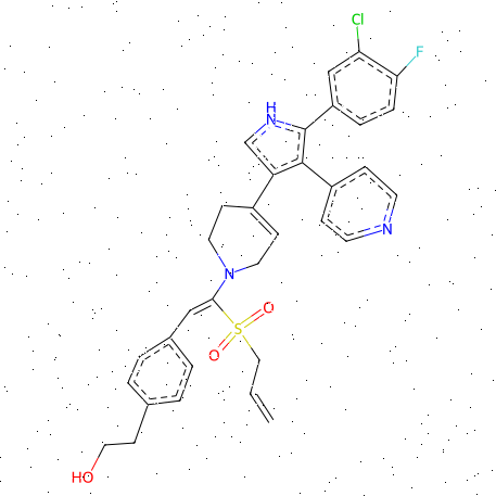 C=CCS(=O)(=O)C(=Cc1ccc(CCO)cc1)N1CC=C(c2c[nH]c(-c3ccc(F)c(Cl)c3)c2-c2ccncc2)CC1